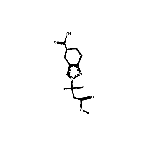 COC(=O)CC(C)(C)n1cc2c(n1)CCC(C(=O)O)C2